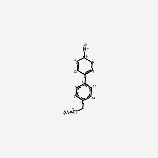 COCc1ccc(C2=CCC(Br)C=C2)cc1